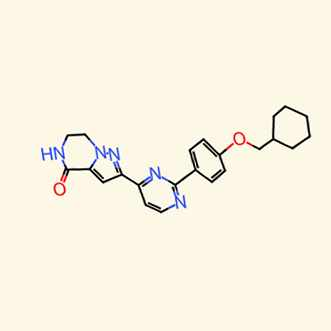 O=C1NCCn2nc(-c3ccnc(-c4ccc(OCC5CCCCC5)cc4)n3)cc21